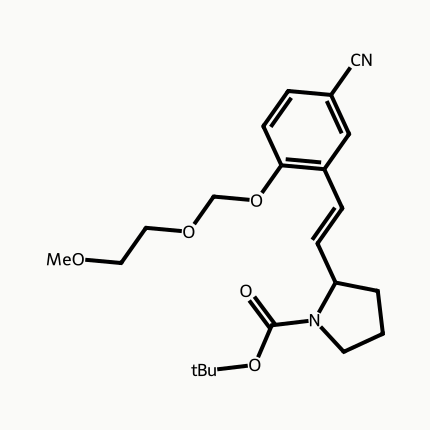 COCCOCOc1ccc(C#N)cc1/C=C/C1CCCN1C(=O)OC(C)(C)C